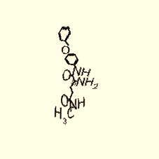 CNC(=O)CC[C@H](N)C(=O)Nc1ccc(OCc2ccccc2)cc1